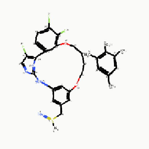 CS(=N)Cc1cc2cc(c1)OCCCCOc1c(ccc(F)c1F)-c1nc(ncc1F)N2.Cc1cc(C)c(S(=O)(=O)O)c(C)c1